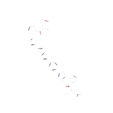 COC(=O)NC(C(=O)N1CC=C[C@H]1c1ncc(-c2ccc(-c3cc4sc(-c5cnc([C@@H]6C=CCN6C(=O)[C@@H](NC(=O)OC)C(C)C)[nH]5)cc4s3)cc2)[nH]1)C(C)C